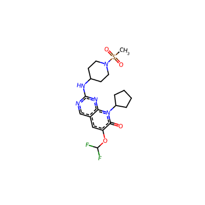 CS(=O)(=O)N1CCC(Nc2ncc3cc(OC(F)F)c(=O)n(C4CCCC4)c3n2)CC1